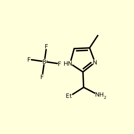 CCC(N)c1nc(C)c[nH]1.F[B-](F)(F)F